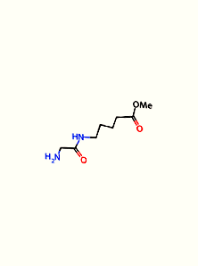 COC(=O)CCCCNC(=O)CN